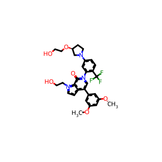 COc1cc(OC)cc(-c2cn(-c3cc(N4CC[C@H](OCCO)C4)ccc3C(F)(F)F)c(=O)c3c2ccn3CCO)c1